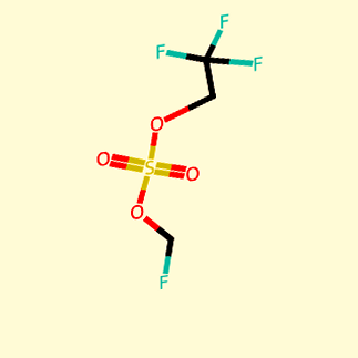 O=S(=O)(OCF)OCC(F)(F)F